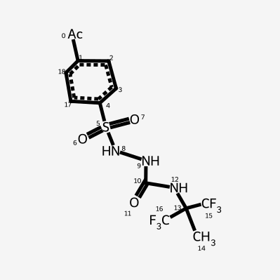 CC(=O)c1ccc(S(=O)(=O)NNC(=O)NC(C)(C(F)(F)F)C(F)(F)F)cc1